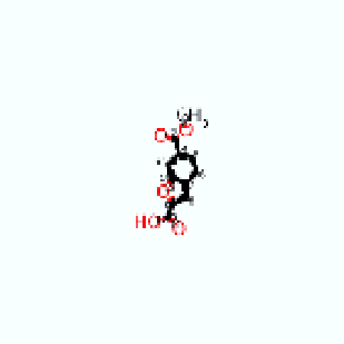 COC(=O)c1ccc2cc(C(=O)O)oc2c1